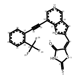 O=C1NC(=S)SC1=Cc1cc2cncc(C#Cc3ccccc3C(F)(F)F)c2o1